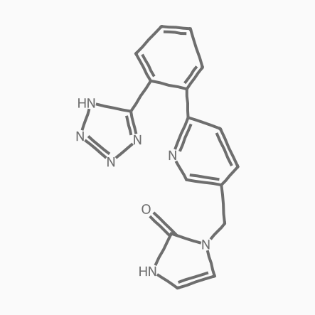 O=c1[nH]ccn1Cc1ccc(-c2ccccc2-c2nnn[nH]2)nc1